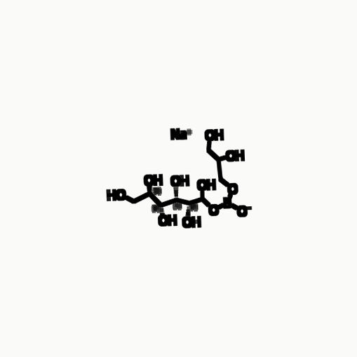 [Na+].[O-]B(OCC(O)CO)OC(O)[C@H](O)[C@@H](O)[C@H](O)[C@H](O)CO